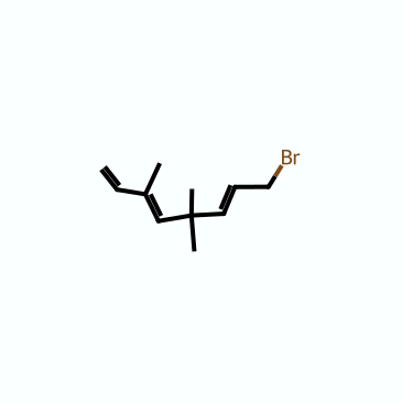 C=C/C(C)=C/C(C)(C)/C=C/CBr